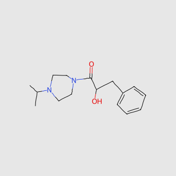 CC(C)N1CCN(C(=O)C(O)Cc2ccccc2)CC1